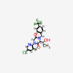 C[C@@H](O)C1C(=O)N(c2ncc(Cl)cc2F)CC(=O)N1Cc1ccc(C(F)(F)F)cc1